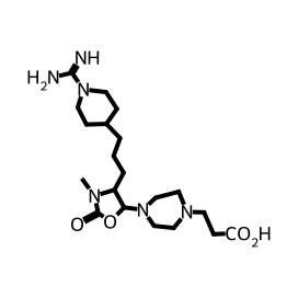 CN1C(=O)OC(N2CCN(CCC(=O)O)CC2)C1CCCC1CCN(C(=N)N)CC1